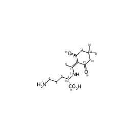 CC(N[C@@H](CCCN)C(=O)O)=C1C(=O)CC(C)(C)CC1=O